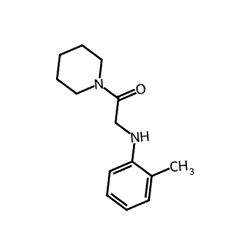 Cc1ccccc1NCC(=O)N1CCCCC1